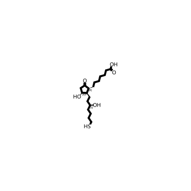 O=C(O)CCCCCC[C@H]1C(=O)C[C@@H](O)[C@@H]1CC[C@@H](O)CCCCS